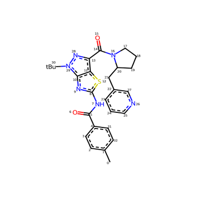 Cc1ccc(C(=O)Nc2nc3c(s2)c(C(=O)N2CCCC2Cc2cccnc2)nn3C(C)(C)C)cc1